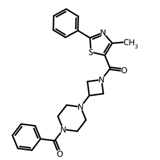 Cc1nc(-c2ccccc2)sc1C(=O)N1CC(N2CCN(C(=O)c3ccccc3)CC2)C1